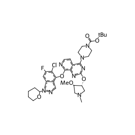 CO[C@@H]1CN(C)C[C@H]1Oc1nc(N2CCN(C(=O)OC(C)(C)C)CC2)c2ccnc(Oc3c(Cl)c(F)cc4c3cnn4C3CCCCO3)c2n1